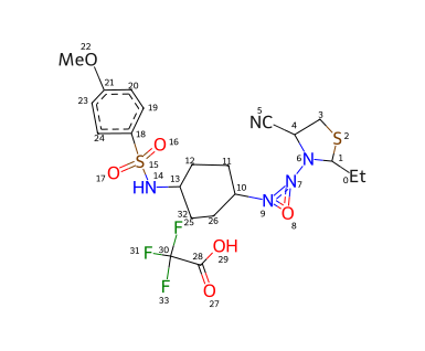 CCC1SCC(C#N)N1n1on1C1CCC(NS(=O)(=O)c2ccc(OC)cc2)CC1.O=C(O)C(F)(F)F